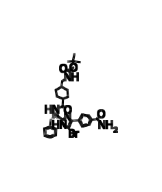 CC(C)(C)OC(=O)NCC1CCC(C(=O)N[C@@H](Cc2ccccc2)c2nc(-c3ccc(C(N)=O)cc3)c(Br)[nH]2)CC1